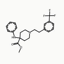 COC(=O)C1(Nc2ccccc2)CCN(CCc2cccc(C(F)(F)F)c2)CC1